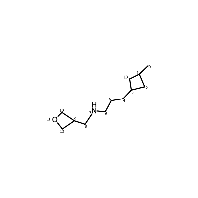 CC1CC(CCCNCC2COC2)C1